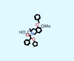 COc1ccc2c(c1OCC1=CCCC=C1)CC(C)(C(=O)O)N(C(=O)C(OC1CCCC1)c1ccccc1)C2